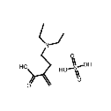 C=C(CCN(CC)CC)C(=O)O.O=S(=O)(O)O